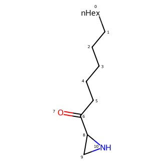 CCCCCCCCCCCC(=O)C1CN1